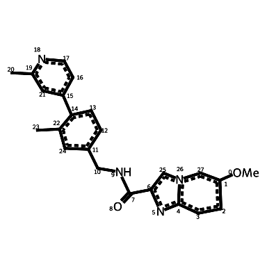 COc1ccc2nc(C(=O)NCc3ccc(-c4ccnc(C)c4)c(C)c3)cn2c1